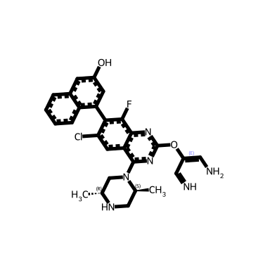 C[C@@H]1CN(c2nc(O/C(C=N)=C/N)nc3c(F)c(-c4cc(O)cc5ccccc45)c(Cl)cc23)[C@@H](C)CN1